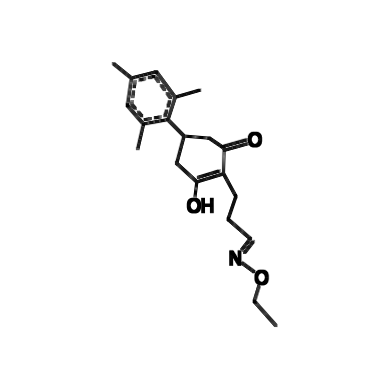 CCON=CCCC1=C(O)CC(c2c(C)cc(C)cc2C)CC1=O